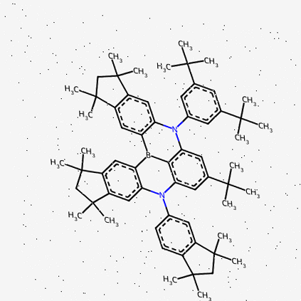 CC(C)(C)c1cc(N2c3cc4c(cc3B3c5cc6c(cc5N(c5ccc7c(c5)C(C)(C)CC7(C)C)c5cc(C(C)(C)C)cc2c53)C(C)(C)CC6(C)C)C(C)(C)CC4(C)C)cc(C(C)(C)C)c1